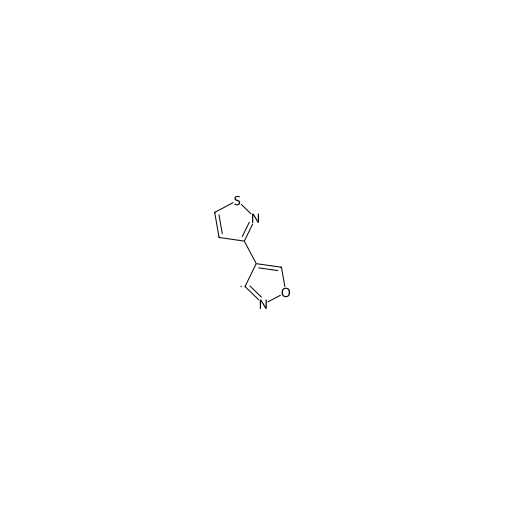 [c]1nocc1-c1ccsn1